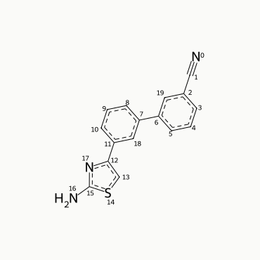 N#Cc1cccc(-c2cccc(-c3csc(N)n3)c2)c1